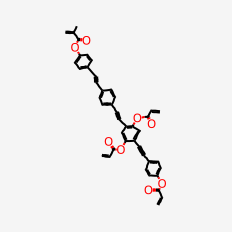 C=CC(=O)Oc1ccc(C#Cc2cc(OC(=O)C=C)c(C#Cc3ccc(C#Cc4ccc(OC(=O)C(=C)C)cc4)cc3)cc2OC(=O)C=C)cc1